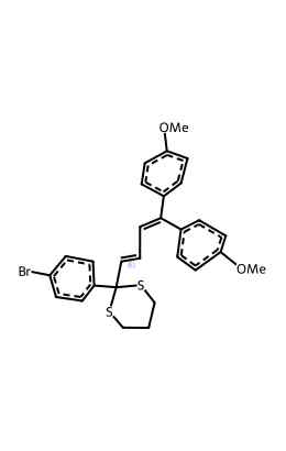 COc1ccc(C(=C/C=C/C2(c3ccc(Br)cc3)SCCCS2)c2ccc(OC)cc2)cc1